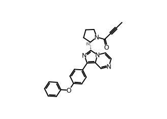 CC#CC(=O)N1CCC[C@H]1c1nc(-c2ccc(Oc3ccccc3)cc2)c2cnccn12